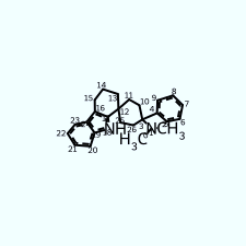 CN(C)C1(c2ccccc2)CCC2(CCCc3c2[nH]c2ccccc32)CC1